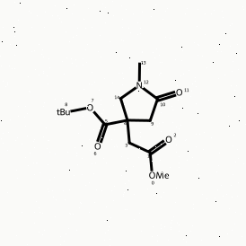 COC(=O)CC1(C(=O)OC(C)(C)C)CC(=O)N(C)C1